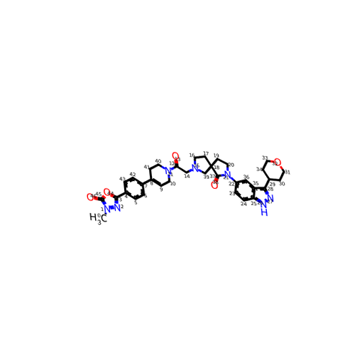 Cn1nc(-c2ccc(C3=CCN(C(=O)CN4CCC5(CCN(c6ccc7[nH]nc(C8CCOCC8)c7c6)C5=O)C4)CC3)cc2)oc1=O